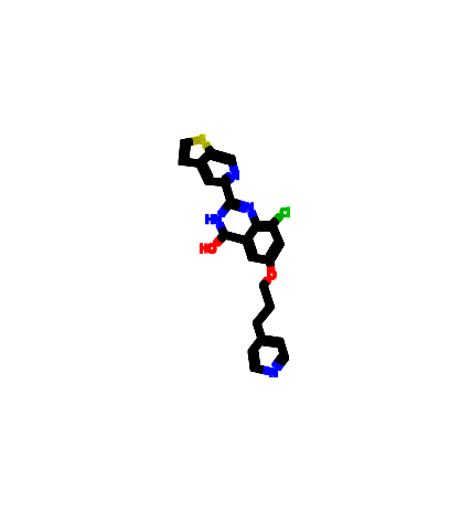 OC1NC(c2cc3ccsc3cn2)=Nc2c(Cl)cc(OCCCc3ccncc3)cc21